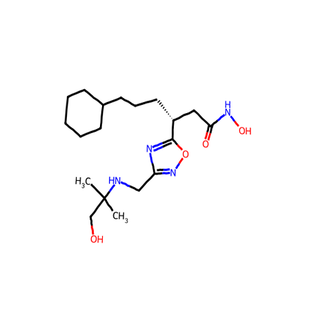 CC(C)(CO)NCc1noc([C@H](CCCC2CCCCC2)CC(=O)NO)n1